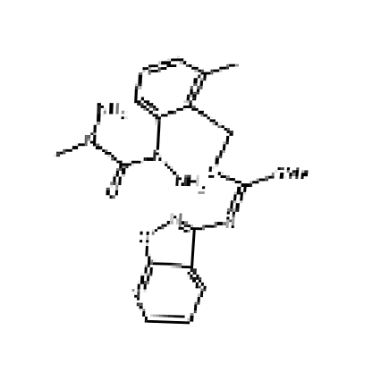 CS/C(=N/c1noc2ncccc12)SCc1c(C)cccc1N(N)C(=O)N(C)N